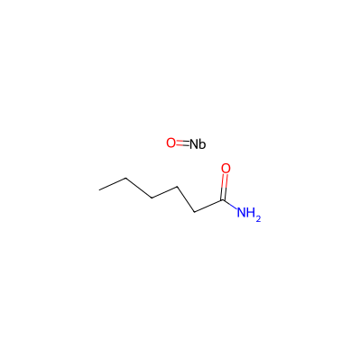 CCCCCC(N)=O.[O]=[Nb]